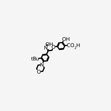 CC(C)(C)c1cc(C(COc2ccc(C(=O)O)c(O)c2)=NO)ccc1N1CCOCC1